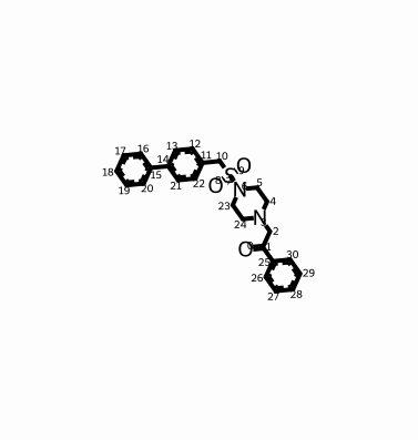 O=C(CN1CCN(S(=O)(=O)Cc2ccc(-c3ccccc3)cc2)CC1)c1ccccc1